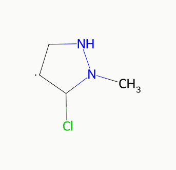 CN1NC[CH]C1Cl